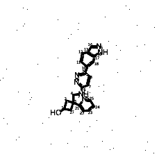 OC1CC(CNc2ccc(-c3ccc4cn[nH]c4c3)nn2)(c2ccccn2)C1